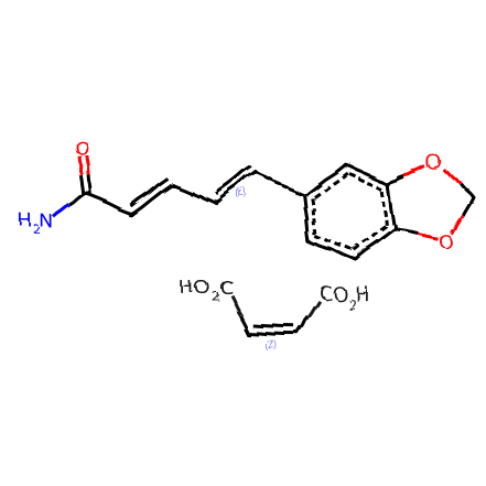 NC(=O)C=C/C=C/c1ccc2c(c1)OCO2.O=C(O)/C=C\C(=O)O